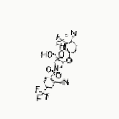 N#Cc1ccc(OC2CN(S(=O)(=O)c3ccc(C(F)(F)F)cc3C#N)C[C@@]2(O)CO)cc1C(F)(F)F